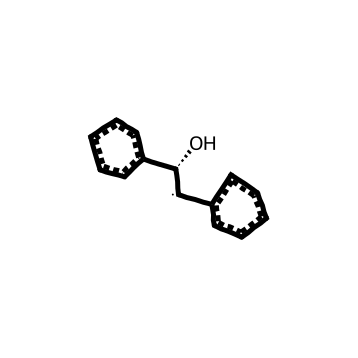 O[C@H]([CH]c1ccccc1)c1ccccc1